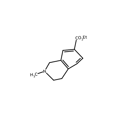 CCOC(=O)c1ccc2c(c1)CN(C)CC2